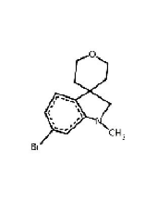 CN1CC2(CCOCC2)c2ccc(Br)cc21